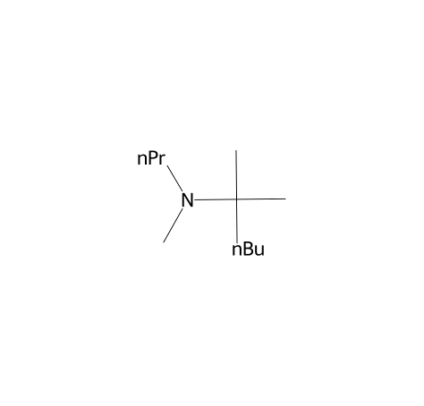 CCCCC(C)(C)N(C)CCC